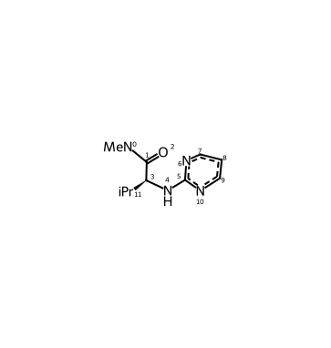 CNC(=O)[C@@H](Nc1ncccn1)C(C)C